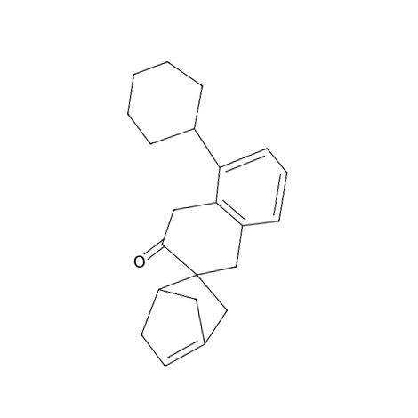 O=C1Cc2c(cccc2C2CCCCC2)CC12CC1=CCC2C1